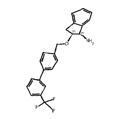 N[C@@H]1c2ccccc2C[C@@H]1OCc1ccc(-c2cccc(C(F)(F)F)c2)cc1